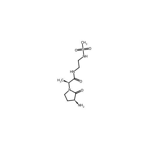 C[C@@H](C(=O)NCCNS(C)(=O)=O)N1CC[C@H](N)C1=O